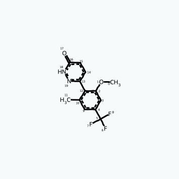 COc1cc(C(F)(F)F)cc(C)c1-c1ccc(=O)[nH]n1